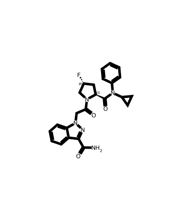 NC(=O)c1nn(CC(=O)N2C[C@H](F)C[C@H]2C(=O)N(c2ccccc2)C2CC2)c2ccccc12